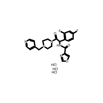 Cl.Cl.Cl.O=C(NC(C(=O)N1CCN(Cc2ccncc2)CC1)c1ccc(F)cc1F)c1cocn1